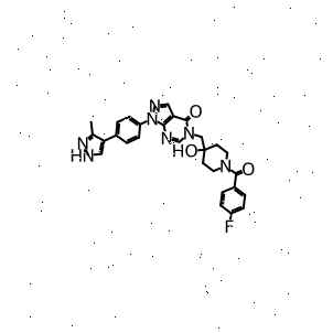 Cc1n[nH]cc1-c1ccc(-n2ncc3c(=O)n(CC4(O)CCN(C(=O)c5ccc(F)cc5)CC4)cnc32)cc1